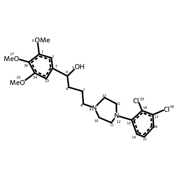 COc1cc(C(O)CCCN2CCN(c3cccc(Cl)c3Cl)CC2)cc(OC)c1OC